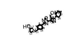 COCc1c(-c2nc(-c3ccc(CN4CCC(O)C4)cc3)no2)cnn1C1CCCCC1